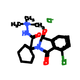 C[N+](C)(C)NC(=O)C1(N2C(=O)c3cccc(Cl)c3C2=O)CCCCC1.[Cl-]